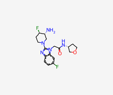 N[C@@H]1CN(c2nc3ccc(F)cc3n2CC(=O)N[C@@H]2CCOC2)CC[C@H]1F